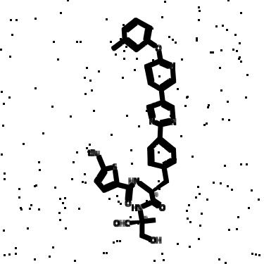 Cc1cccc(Oc2ccc(-c3cnc(-c4ccc(C[C@H](NC(=O)c5ccc(C(C)(C)C)s5)C(=O)N[C@@](C)(C=O)CO)cc4)nc3)cn2)c1